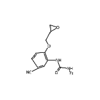 CCNC(=O)Nc1cc(C#N)ccc1OCC1CO1